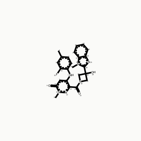 Cc1ccc(Nc2cc(=O)n(C)nc2C(=O)N2CC(O)(c3nc4ccccc4n3C)C2)c(F)c1